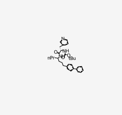 CCCC(CCCc1ccc(-c2ccccc2)cc1)NC(=O)[C@H](Cc1cccnc1)NC(=O)OC(C)(C)C